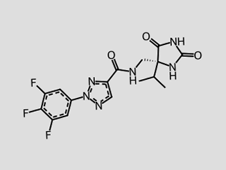 CC(C)[C@]1(CNC(=O)c2cnn(-c3cc(F)c(F)c(F)c3)n2)NC(=O)NC1=O